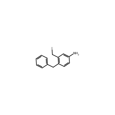 Nc1ccc(Cc2ccccc2)c(CI)c1